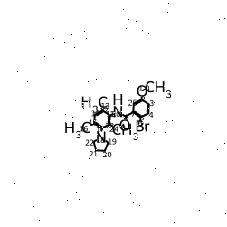 COc1ccc(Br)c(C(=O)Nc2c(C)cc(C)c(N3CCCC3)c2C)c1